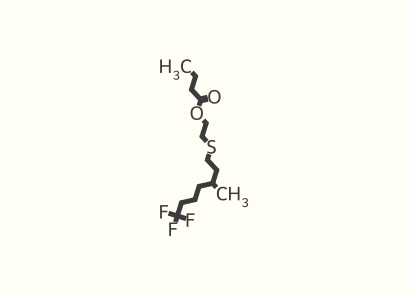 CCCC(=O)OCCSCCC(C)CCCC(F)(F)F